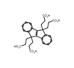 O=C(O)CCC1(CCC(=O)O)C2=C(c3ccccc31)C(CCC(=O)O)(CCC(=O)O)c1ccccc12